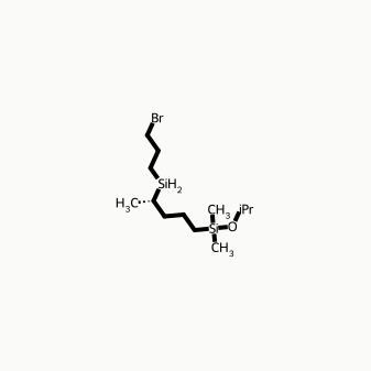 CC(C)O[Si](C)(C)CCC[C@H](C)[SiH2]CCCBr